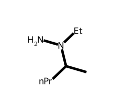 CCCC(C)N(N)CC